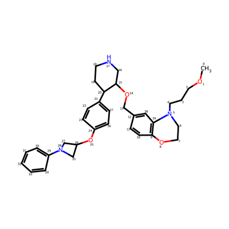 COCCCN1CCOc2ccc(COC3CNCCC3c3ccc(OC4CN(c5ccccc5)C4)cc3)cc21